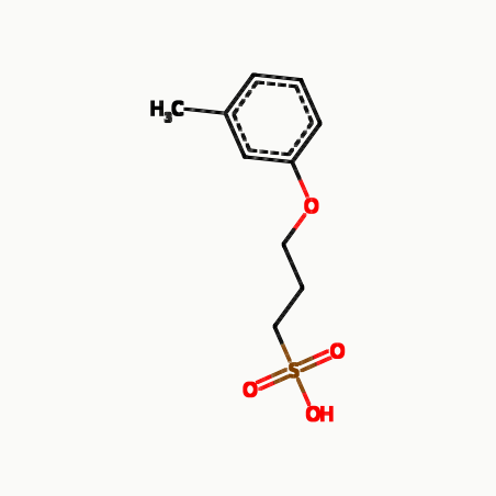 Cc1cccc(OCCCS(=O)(=O)O)c1